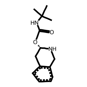 CC(C)(C)NC(=O)O[C@H]1Cc2ccccc2CN1